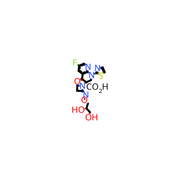 O=C(O)C1(N2CCC2=NOC[C@H](O)CO)CN(c2nccs2)c2ncc(F)cc2C1=O